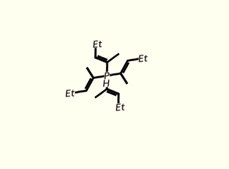 CCC=C(C)[PH](C(C)=CCC)(C(C)=CCC)C(C)=CCC